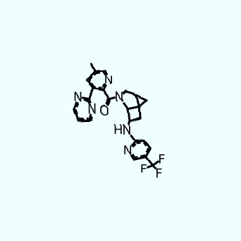 Cc1cnc(C(=O)N2CC3CC34CC(Nc3ccc(C(F)(F)F)cn3)C24)c(-c2ncccn2)c1